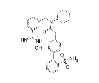 N=C(NO)c1cccc(CN(C(=O)Cc2ccc(-c3ccccc3S(N)(=O)=O)cc2)C2CCCCC2)c1